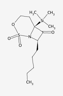 CCCCC[C@@H]1C(=O)[C@@]2([Si](C)(C)C)CCOS(=O)(=O)N12